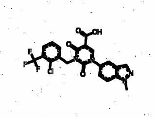 Cn1ncc2cc(-n3cc(C(=O)O)c(=O)n(Cc4cccc(C(F)(F)F)c4Cl)c3=O)ccc21